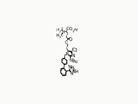 CCCCc1nc(Cl)c(CCOC(=O)CCC(C(=O)O)N(C)C)n1Cc1ccc(-c2ccccc2-c2nn[nH]n2)cc1